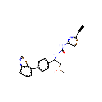 C#Cc1nc(NC(=O)NC(C[S+](C)[O-])c2ccc(-c3cccc4ncsc34)cc2)cs1